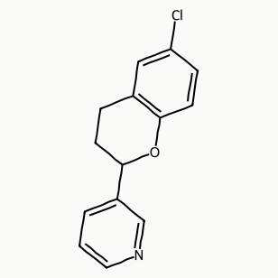 Clc1ccc2c(c1)CCC(c1cccnc1)O2